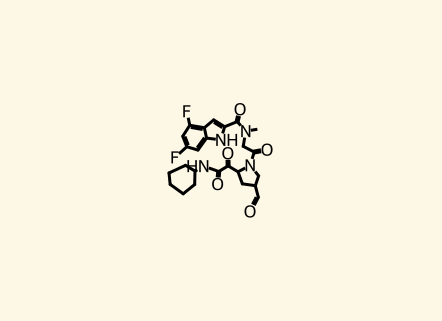 CN(CC(=O)N1CC(C=O)CC1C(=O)C(=O)NC1CCCCC1)C(=O)c1cc2c(F)cc(F)cc2[nH]1